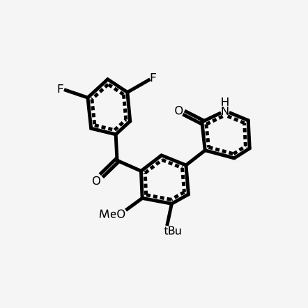 COc1c(C(=O)c2cc(F)cc(F)c2)cc(-c2ccc[nH]c2=O)cc1C(C)(C)C